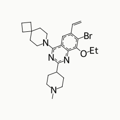 C=Cc1cc2c(N3CCC4(CCC4)CC3)nc(C3CCN(C)CC3)nc2c(OCC)c1Br